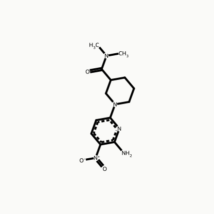 CN(C)C(=O)C1CCCN(c2ccc([N+](=O)[O-])c(N)n2)C1